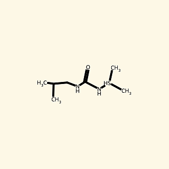 CC(C)CNC(=O)N[SH](C)C